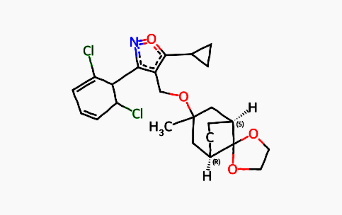 CC1(OCc2c(C3C(Cl)=CC=CC3Cl)noc2C2CC2)C[C@H]2CC[C@@H](C1)C21OCCO1